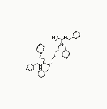 NC(=NCc1ccccc1)N(CCC[CH]CCN(Cc1ccccc1)C(=NCc1ccccc1)NCc1ccccc1)Cc1ccccc1